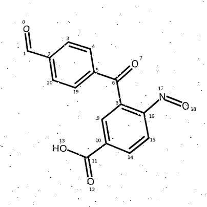 O=Cc1ccc(C(=O)c2cc(C(=O)O)ccc2N=O)cc1